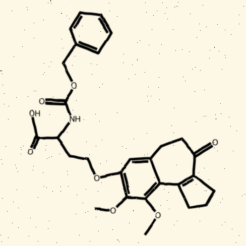 COc1c(OCCC(NC(=O)OCc2ccccc2)C(=O)O)cc2c(c1OC)C1=C(CCC1)C(=O)CC2